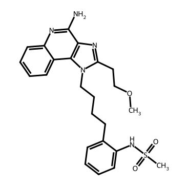 COCCc1nc2c(N)nc3ccccc3c2n1CCCCc1ccccc1NS(C)(=O)=O